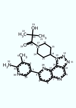 Cc1cc(-c2ccc3ncc4nnn(C5CCN(C(=O)C(C)(C)O)CC5)c4c3n2)cnc1N